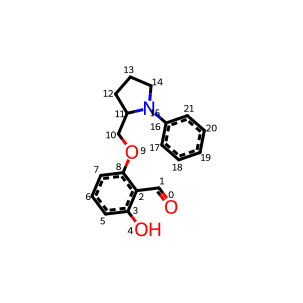 O=Cc1c(O)cccc1OCC1CCCN1c1ccccc1